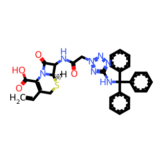 C=CC1=C(C(=O)O)N2C(=O)C(NC(=O)Cn3nnc(NC(c4ccccc4)(c4ccccc4)c4ccccc4)n3)[C@H]2SC1